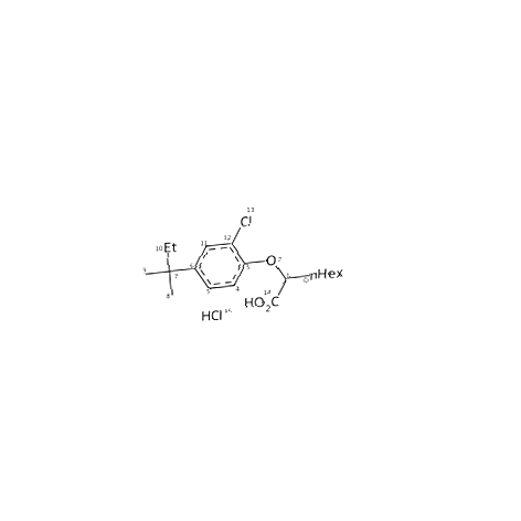 CCCCCCC(Oc1ccc(C(C)(C)CC)cc1Cl)C(=O)O.Cl